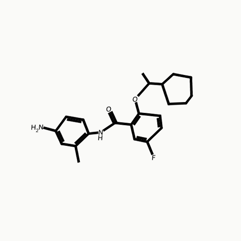 Cc1cc(N)ccc1NC(=O)c1cc(F)ccc1OC(C)C1CCCCC1